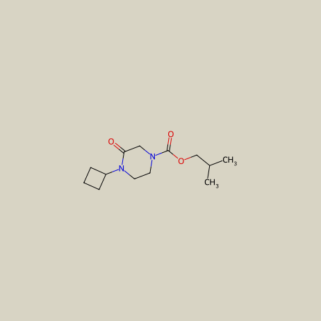 CC(C)COC(=O)N1CCN(C2CCC2)C(=O)C1